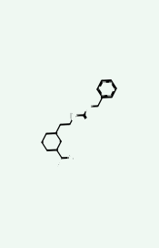 C[C@H](N)C1CCCC(CCNC(=O)OCc2ccccc2)C1